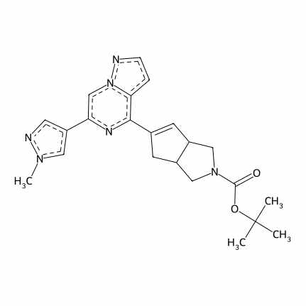 Cn1cc(-c2cn3nccc3c(C3=CC4CN(C(=O)OC(C)(C)C)CC4C3)n2)cn1